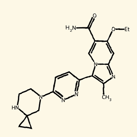 CCOc1cc2nc(C)c(-c3ccc(N4CCNC5(CC5)C4)nn3)n2cc1C(N)=O